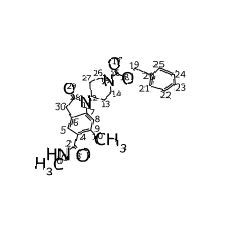 CNC(=O)c1cc2c(cc1C)N(C1CCN(C(=O)OCc3ccccc3)CC1)C(=O)C2